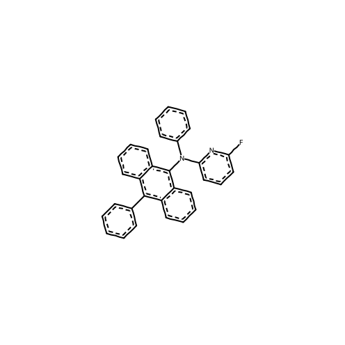 Fc1cccc(N(c2ccccc2)c2c3ccccc3c(-c3ccccc3)c3ccccc23)n1